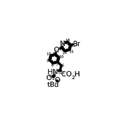 CC(C)(C)OC(=O)NC(Cc1cccc(Oc2ccc(Br)cn2)c1)C(=O)O